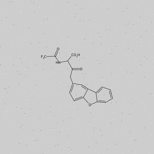 O=C(O)C(NC(=O)C(F)(F)F)C(=O)Cc1ccc2oc3ccccc3c2c1